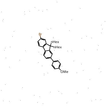 CCCCCCC1(CCCCCC)c2cc(Br)ccc2-c2ccc(-c3ccc(OC)cc3)cc21